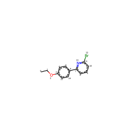 CCOc1ccc(-c2cccc(Br)n2)cc1